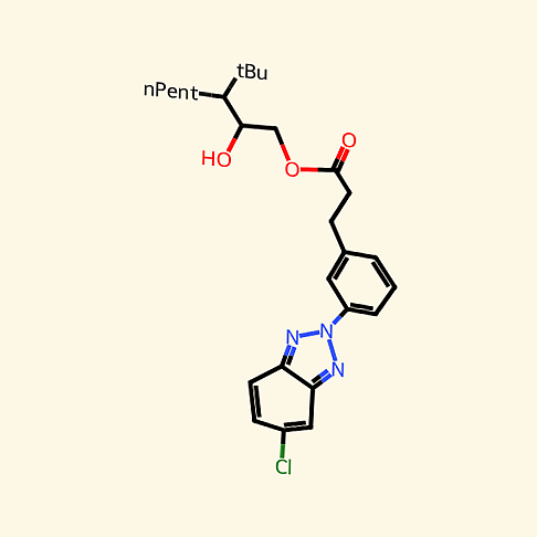 CCCCCC(C(O)COC(=O)CCc1cccc(-n2nc3ccc(Cl)cc3n2)c1)C(C)(C)C